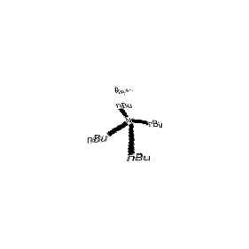 CCCC[N+](CCCC)(CCCC)CCCC.[Re+4]